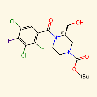 CC(C)(C)OC(=O)N1CCN(C(=O)c2cc(Cl)c(I)c(Cl)c2F)[C@@H](CO)C1